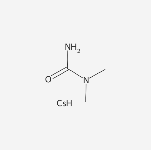 CN(C)C(N)=O.[CsH]